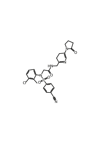 Cc1c(Cl)cccc1N(CC(=O)NCC1=NC=C(N2CCCC2=O)CC1)S(=O)(=O)c1ccc(C#N)cc1